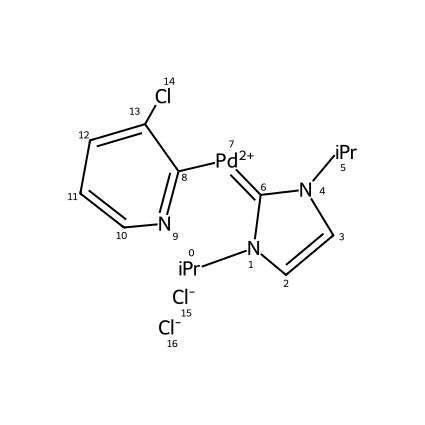 CC(C)n1ccn(C(C)C)[c]1=[Pd+2][c]1ncccc1Cl.[Cl-].[Cl-]